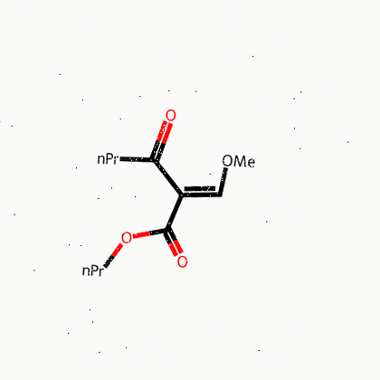 CCCOC(=O)/C(=C/OC)C(=O)CCC